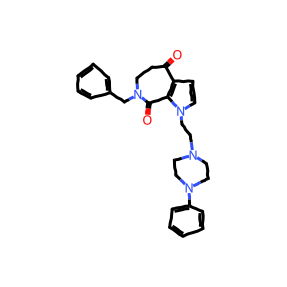 O=C1CCN(Cc2ccccc2)C(=O)c2c1ccn2CCN1CCN(c2ccccc2)CC1